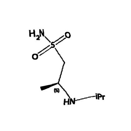 CC(C)N[C@@H](C)CS(N)(=O)=O